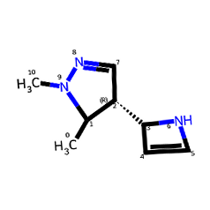 CC1[C@@H](C2C=CN2)C=NN1C